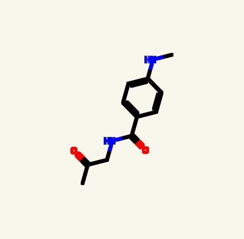 CNc1ccc(C(=O)NCC(C)=O)cc1